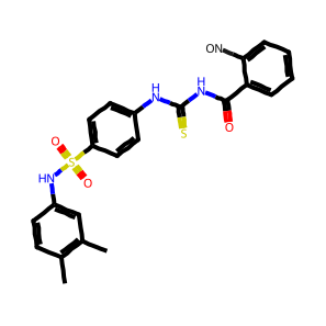 Cc1ccc(NS(=O)(=O)c2ccc(NC(=S)NC(=O)c3ccccc3N=O)cc2)cc1C